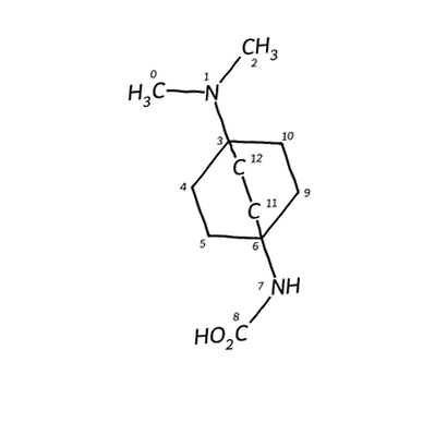 CN(C)C12CCC(NC(=O)O)(CC1)CC2